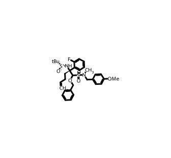 C=CCC[C@@](N[S+]([O-])C(C)(C)C)(c1ccccc1F)C(OCc1ccccc1)S(=O)(=O)N(C)Cc1ccc(OC)cc1